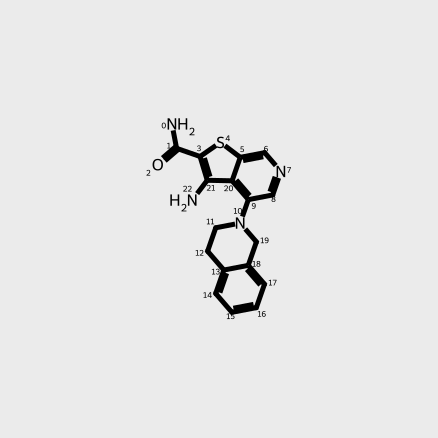 NC(=O)c1sc2cncc(N3CCc4ccccc4C3)c2c1N